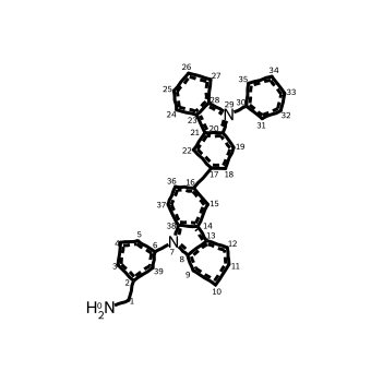 NCc1cccc(-n2c3ccccc3c3cc(-c4ccc5c(c4)c4ccccc4n5-c4ccccc4)ccc32)c1